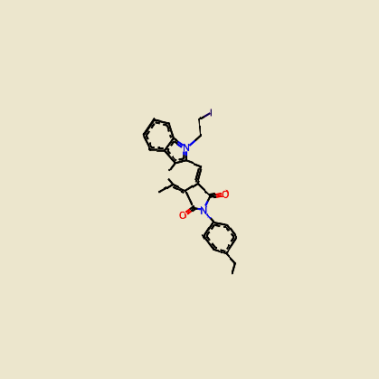 CCc1ccc(N2C(=O)C(=C(C)C)/C(=C\c3c(C)c4ccccc4n3CCI)C2=O)cc1